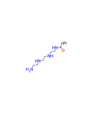 CCCC(=O)NCCNCCNCCN